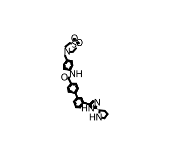 O=C(Nc1ccc(CN2CCS(=O)(=O)CC2)cc1)c1ccc(-c2cccc(-c3cnc([C@@H]4CCCN4)[nH]3)c2)cc1